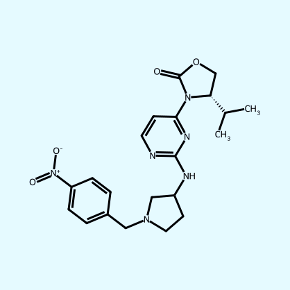 CC(C)[C@H]1COC(=O)N1c1ccnc(NC2CCN(Cc3ccc([N+](=O)[O-])cc3)C2)n1